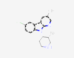 Cc1cnc2c(c1)c1cc(Cl)ccc1n2[C@H]1CCNC[C@@H]1N=O